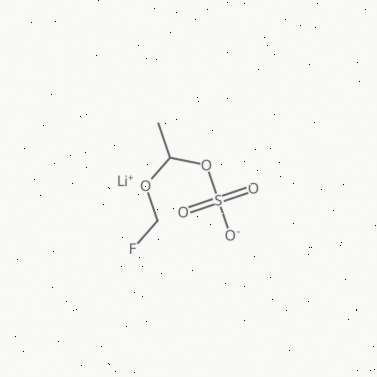 CC(OCF)OS(=O)(=O)[O-].[Li+]